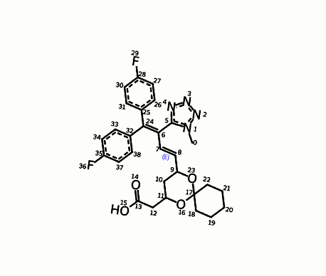 Cn1nnnc1C(/C=C/C1CC(CC(=O)O)OC2(CCCCC2)O1)=C(c1ccc(F)cc1)c1ccc(F)cc1